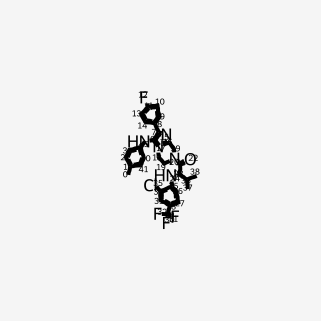 Cc1ccc(Nc2c(-c3ccc(F)cc3)nc3n2CCN(C(=O)[C@@H](Nc2ccc(C(F)(F)F)cc2Cl)C(C)C)C3)cc1